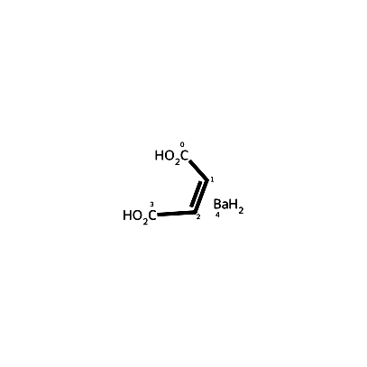 O=C(O)/C=C\C(=O)O.[BaH2]